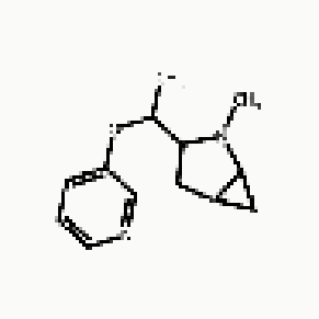 CC(Oc1cccnc1)C1CC2CC2N1C